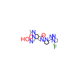 CC(C)N(C)c1cc2c(c(CN(C)C(=O)O)n1)CN(c1cccc(-c3nnc4n3[C@H](CF)CC4)n1)C2=O